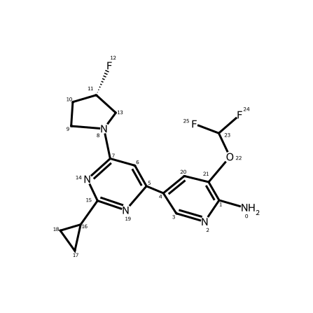 Nc1ncc(-c2cc(N3CC[C@H](F)C3)nc(C3CC3)n2)cc1OC(F)F